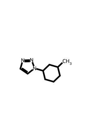 CC1CCCC(n2ccnn2)C1